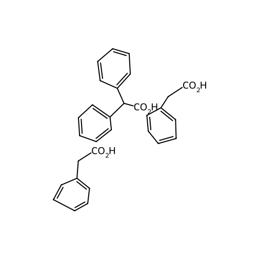 O=C(O)C(c1ccccc1)c1ccccc1.O=C(O)Cc1ccccc1.O=C(O)Cc1ccccc1